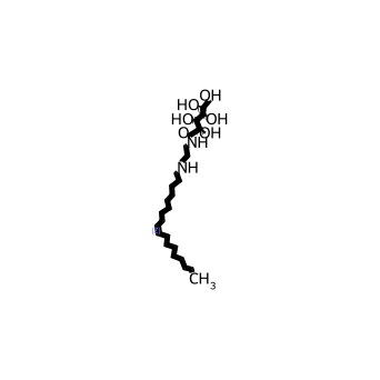 CCCCCCCC/C=C\CCCCCCCCNCCCNC(=O)[C@H](O)[C@@H](O)[C@H](O)[C@H](O)CO